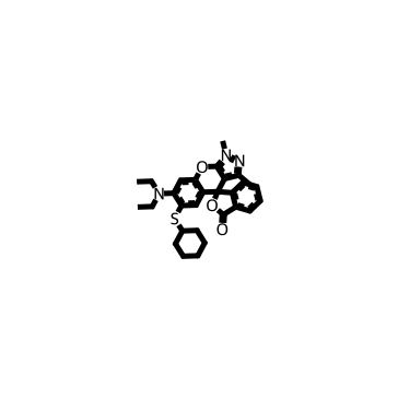 CCN(CC)c1cc2c(cc1SC1CCCCC1)C1(OC(=O)c3ccccc31)c1c(C)nn(C)c1O2